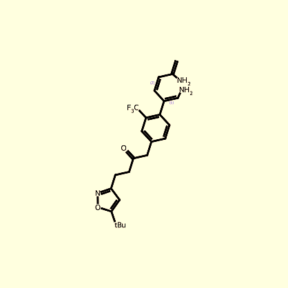 C=C(N)/C=C\C(=C/N)c1ccc(CC(=O)CCc2cc(C(C)(C)C)on2)cc1C(F)(F)F